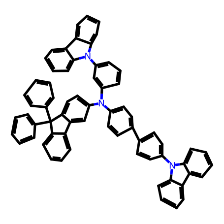 c1ccc(C2(c3ccccc3)c3ccccc3-c3cc(N(c4ccc(-c5ccc(-n6c7ccccc7c7ccccc76)cc5)cc4)c4cccc(-n5c6ccccc6c6ccccc65)c4)ccc32)cc1